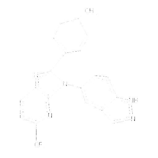 CC1C=CC(c2nc3ccc(C(F)(F)F)nc3n2-c2ccc3[nH]ncc3c2)=CC1